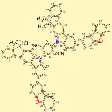 CC1(C)c2ccccc2-c2cc3c4cc(-c5ccc6oc7ccccc7c6c5)ccc4n(-c4cc(C#N)c(-n5c6ccc(-c7ccc8oc9ccccc9c8c7)cc6c6cc7c(cc65)C(C)(C)c5ccccc5-7)cc4C#N)c3cc21